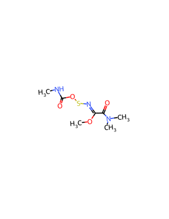 CNC(=O)OS/N=C(\OC)C(=O)N(C)C